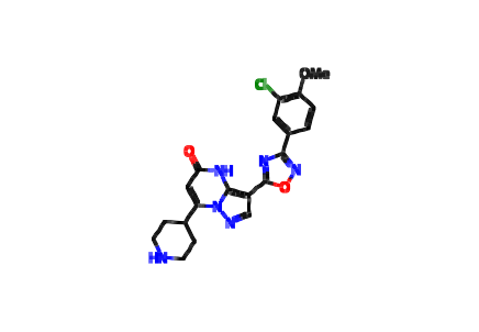 COc1ccc(-c2noc(-c3cnn4c(C5CCNCC5)cc(=O)[nH]c34)n2)cc1Cl